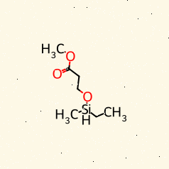 CC[SiH](C)OCCC(=O)OC